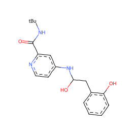 CC(C)(C)NC(=O)c1cc(NC(O)Cc2ccccc2O)ccn1